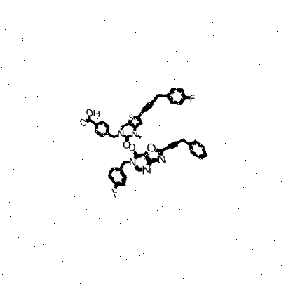 CN1C(=O)N(Cc2ccc(C(=O)O)cc2)Cc2sc(C#CCc3ccc(F)cc3)cc21.O=c1c2oc(C#CCc3ccccc3)nc2ncn1Cc1ccc(F)cc1